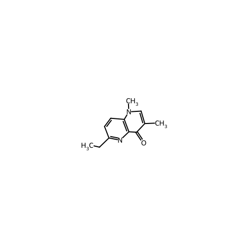 CCc1ccc2c(n1)c(=O)c(C)cn2C